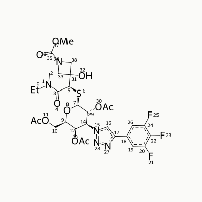 CCN(C)C(=O)[C@H](S[C@@H]1O[C@H](COC(C)=O)[C@H](OC(C)=O)[C@H](n2cc(-c3cc(F)c(F)c(F)c3)nn2)[C@H]1OC(C)=O)C1(O)CN(C(=O)OC)C1